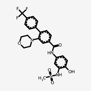 CS(=O)(=O)Nc1cc(NC(=O)c2ccc(-c3ccc(C(F)(F)F)cc3)c(N3CCOCC3)c2)ccc1O